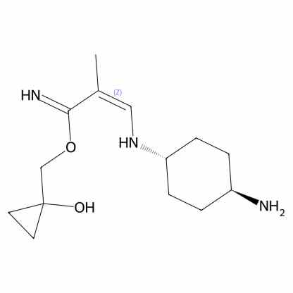 C/C(=C/N[C@H]1CC[C@H](N)CC1)C(=N)OCC1(O)CC1